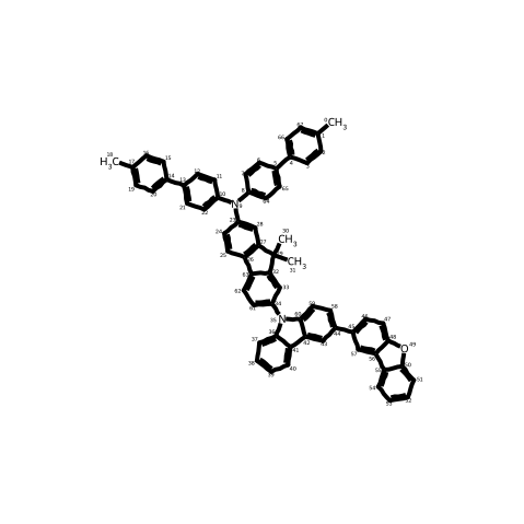 Cc1ccc(-c2ccc(N(c3ccc(-c4ccc(C)cc4)cc3)c3ccc4c(c3)C(C)(C)c3cc(-n5c6ccccc6c6cc(-c7ccc8oc9ccccc9c8c7)ccc65)ccc3-4)cc2)cc1